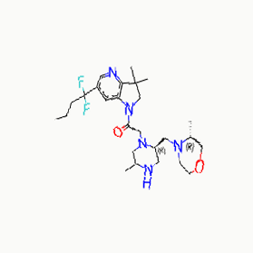 CCCC(F)(F)c1cnc2c(c1)N(C(=O)CN1CC(C)NC[C@@H]1CN1CCOC[C@H]1C)CC2(C)C